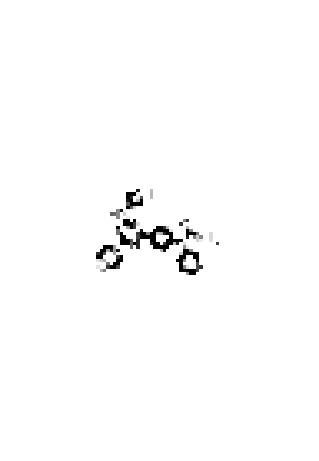 NC(=O)N(c1ccc(-c2nc(NC3CNC3)nc(N3CCOCC3)n2)cc1)c1cccnc1